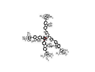 CCCC1(CCC)c2cc(B3OC(C)(C)C(C)(C)O3)ccc2-c2ccc(-c3cn(CC(Cn4cc(-c5ccc6c(c5)C(CCC)(CCC)c5cc(B7OC(C)(C)C(C)(C)O7)ccc5-6)nn4)(Cn4cc(-c5ccc6c(c5)C(CCC)(CCC)c5cc(B7OC(C)(C)C(C)(C)O7)ccc5-6)nn4)Cn4cc(-c5ccc6c(c5)C(CCC)(CCC)c5cc(B7OC(C)(C)C(C)(C)O7)ccc5-6)nn4)nn3)cc21